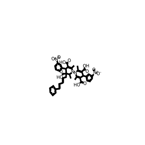 CC1=C(C(=O)O)C(c2cccc([N+](=O)[O-])c2)C(C(=O)O)=C(C)N1N1C(C)=C(C(=O)O)C(c2cccc([N+](=O)[O-])c2)C(CC=CC=Cc2ccccc2)(C(=O)O)C1C